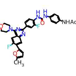 CC(=O)Nc1ccc(NC(=O)Nc2ccc(-c3nc(N4CCOCC4)c4cc(F)c(-c5ccc(C)o5)cc4n3)cc2F)cc1